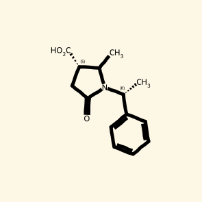 CC1[C@@H](C(=O)O)CC(=O)N1[C@H](C)c1ccccc1